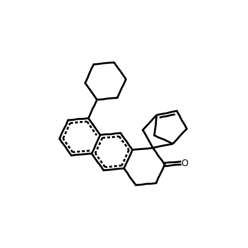 O=C1CCc2cc3cccc(C4CCCCC4)c3cc2C12CC1=CCC2C1